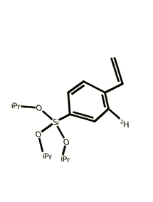 [2H]c1cc([Si](OC(C)C)(OC(C)C)OC(C)C)ccc1C=C